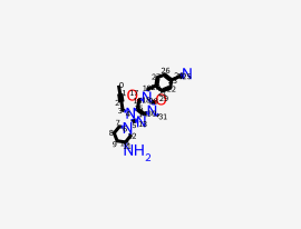 CC#CCn1c(N2CCCC(N)C2)nc2c1c(=O)n(Cc1ccc(C#N)cc1)c(=O)n2C